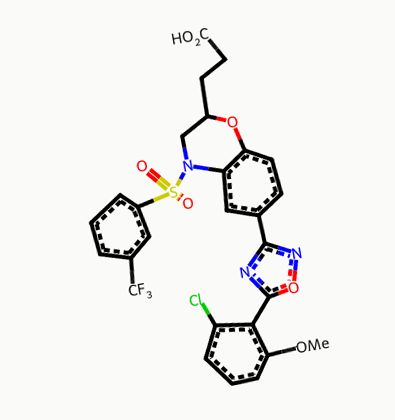 COc1cccc(Cl)c1-c1nc(-c2ccc3c(c2)N(S(=O)(=O)c2cccc(C(F)(F)F)c2)CC(CCC(=O)O)O3)no1